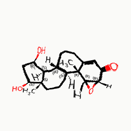 C[C@]12CC[C@H]3[C@@H](CCC4=CC(=O)[C@@H]5O[C@@H]5[C@@]43C)[C@@H]1[C@H](O)C[C@@H]2O